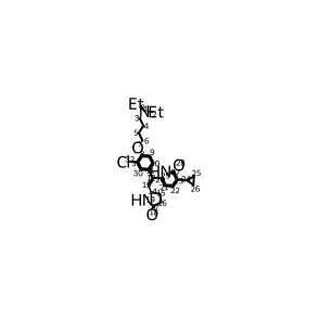 CCN(CC)CCCCOc1ccc(C(=C[C@H]2CCC(=O)N2)c2ccc(C3CC3)c(=O)[nH]2)cc1Cl